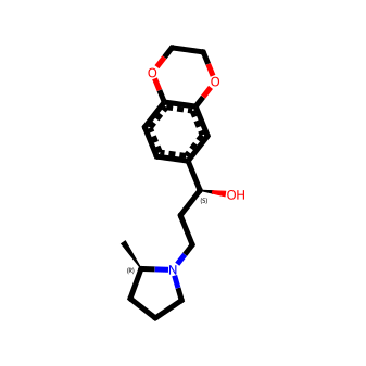 C[C@@H]1CCCN1CC[C@H](O)c1ccc2c(c1)OCCO2